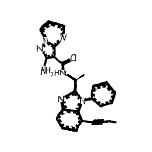 CC#Cc1cccc2nc([C@H](C)NC(=O)c3c(N)nn4cccnc34)n(-c3ccccc3)c12